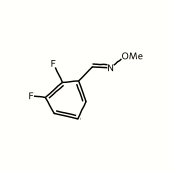 CON=Cc1c[c]cc(F)c1F